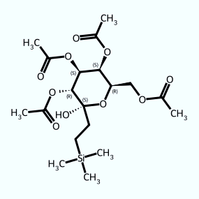 CC(=O)OC[C@H]1O[C@@](O)(CC[Si](C)(C)C)[C@H](OC(C)=O)[C@@H](OC(C)=O)[C@H]1OC(C)=O